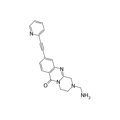 NCN1CCn2c(nc3cc(C#Cc4ccccn4)ccc3c2=O)C1